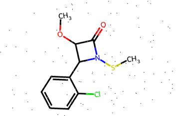 COC1C(=O)N(SC)C1c1ccccc1Cl